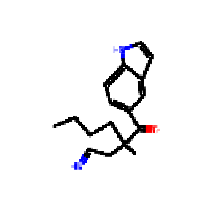 CCCCC(C)(CC=N)C(=O)c1ccc2[nH]ccc2c1